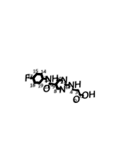 O=C(O)CCNc1ncc(C(=O)Nc2ccc(F)cc2)cn1